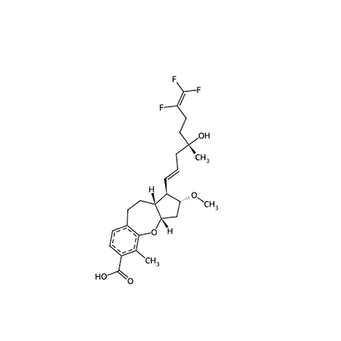 CO[C@@H]1C[C@@H]2Oc3c(ccc(C(=O)O)c3C)CC[C@@H]2[C@H]1/C=C/C[C@@](C)(O)CCC(F)=C(F)F